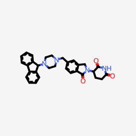 O=C1CCC(N2Cc3cc(CN4CCN(C5c6ccccc6-c6ccccc65)CC4)ccc3C2=O)C(=O)N1